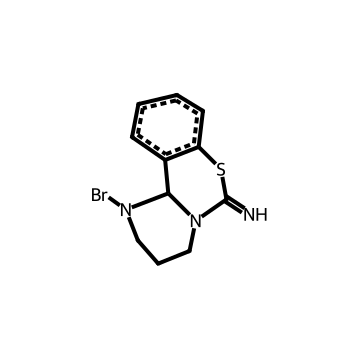 N=C1Sc2ccccc2C2N(Br)CCCN12